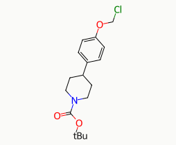 CC(C)(C)OC(=O)N1CCC(c2ccc(OCCl)cc2)CC1